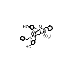 O=C(NCCc1ccccc1)[C@H](Cc1ccc(O)cc1)N1CC2N(C(=O)O)O[C@H](Cc3ccccc3)C(=O)N2[C@@H](Cc2ccc(O)cc2)C1=O